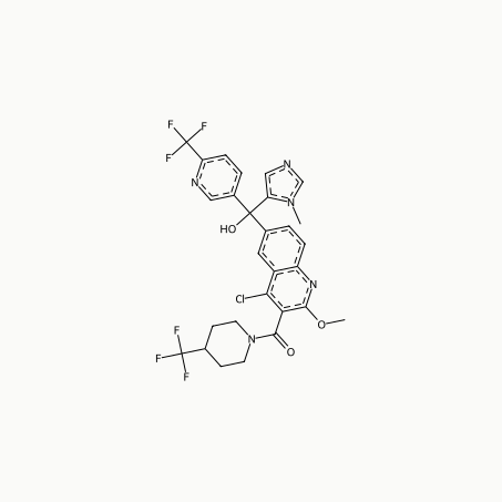 COc1nc2ccc(C(O)(c3ccc(C(F)(F)F)nc3)c3cncn3C)cc2c(Cl)c1C(=O)N1CCC(C(F)(F)F)CC1